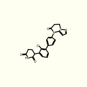 O=C1CCC(c2cccc(-c3ccc(N4C(=O)CCn5nccc54)cc3)c2Cl)C(=O)N1